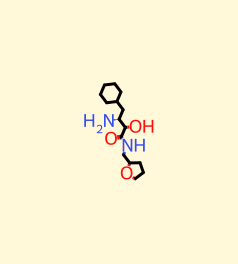 N[C@H](CC1CCCCC1)C(O)C(=O)NCC1CCCO1